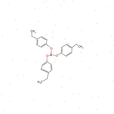 CCc1ccc(OB(Oc2ccc(CC)cc2)Oc2ccc(CC)cc2)cc1